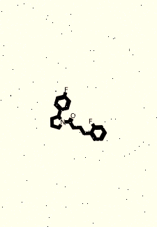 O=C(CCCc1ccccc1F)N1CCCC1c1ccc(F)cc1